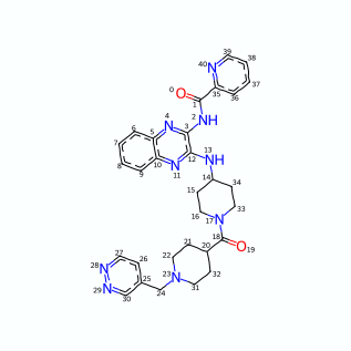 O=C(Nc1nc2ccccc2nc1NC1CCN(C(=O)C2CCN(Cc3ccnnc3)CC2)CC1)c1ccccn1